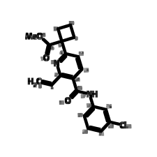 C=Cc1nc(C2(C(=O)OC)CCC2)ccc1C(=O)Nc1cccc(Cl)c1